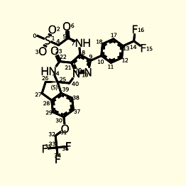 CS(=O)(=O)CC(=O)Nc1c(-c2ccc(C(F)F)cc2)nn2c1C(=O)N[C@]1(CCc3cc(OCC(F)(F)F)ccc31)C2